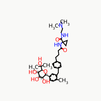 Cc1ccc([C@@H]2OC(C(C)(C)O)[C@@H](O)[C@H](O)[C@H]2O)cc1Cc1ccc(CCCC(=O)NC2(C(=O)NCCN(C)C)CC2)cc1